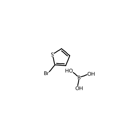 Brc1cccs1.OB(O)O